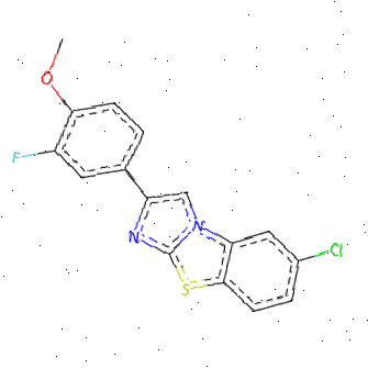 COc1ccc(-c2cn3c(n2)sc2ccc(Cl)cc23)cc1F